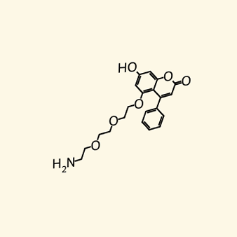 NCCOCCOCCOc1cc(O)cc2oc(=O)cc(-c3ccccc3)c12